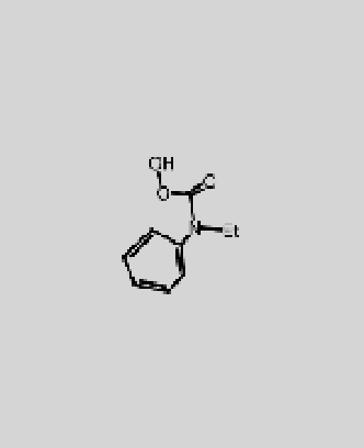 CCN(C(=O)OO)c1ccccc1